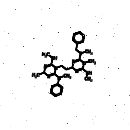 CNC1=NC(CCN2C(NC)=NC(C)N=C2N(C)c2ccccc2)N=C(N(C)Cc2ccccc2)N1C